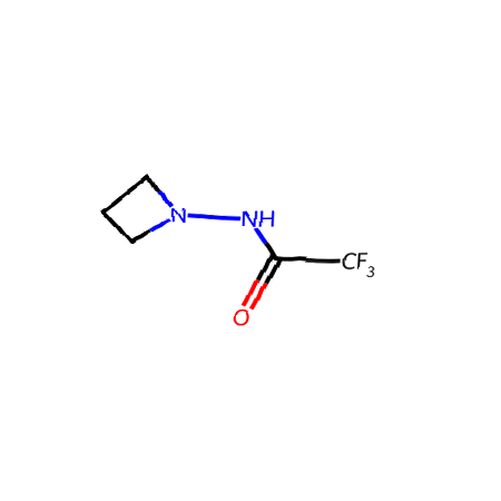 O=C(NN1CCC1)C(F)(F)F